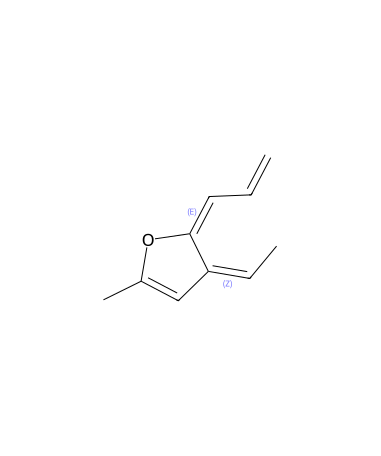 C=C/C=c1/oc(C)c/c1=C/C